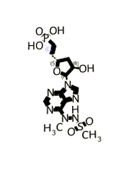 CN(NS(C)(=O)=O)c1ncnc2c1ncn2[C@@H]1O[C@H](/C=C/P(=O)(O)O)C[C@H]1O